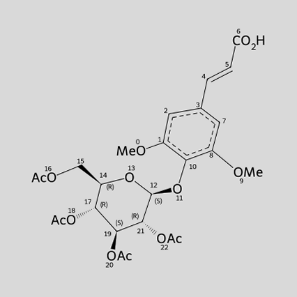 COc1cc(C=CC(=O)O)cc(OC)c1O[C@@H]1O[C@H](COC(C)=O)[C@@H](OC(C)=O)[C@H](OC(C)=O)[C@H]1OC(C)=O